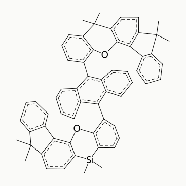 CC1(C)c2cccc(-c3c4ccccc4c(-c4cccc5c4Oc4c(ccc6c4-c4ccccc4C6(C)C)[Si]5(C)C)c4ccccc34)c2Oc2c1ccc1c2-c2ccccc2C1(C)C